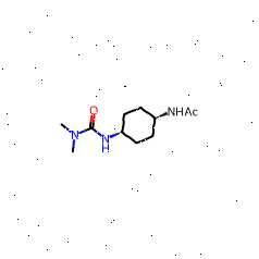 CC(=O)N[C@H]1CC[C@@H](NC(=O)N(C)C)CC1